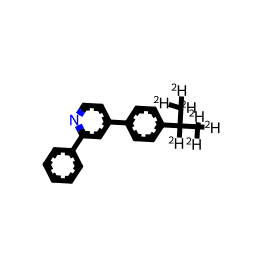 [2H]C([2H])([2H])C([2H])(c1ccc(-c2ccnc(-c3ccccc3)c2)cc1)C([2H])([2H])[2H]